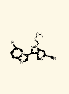 CSCn1nc(-c2cnc3ccc(F)cn23)c2cnc(C#N)cc21